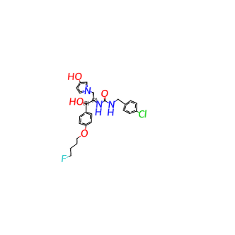 O=C(NCc1ccc(Cl)cc1)N[C@H](Cn1ccc(O)c1)[C@H](O)c1ccc(OCCCCF)cc1